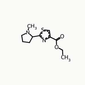 CCOC(=O)c1csc(C2CCCN2C)n1